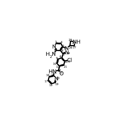 Nc1nccc2c1c(-c1ccc(C(=O)Nc3ccccn3)cc1Cl)nn2C1CNC1